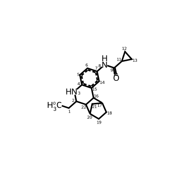 CCC1Nc2ccc(NC(=O)C3CC3)cc2C2C3CCC(C3)C12